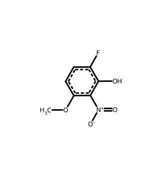 COc1ccc(F)c(O)c1[N+](=O)[O-]